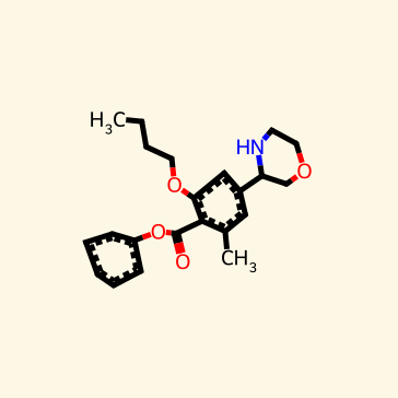 CCCCOc1cc(C2COCCN2)cc(C)c1C(=O)Oc1ccccc1